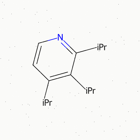 CC(C)c1ccnc(C(C)C)c1C(C)C